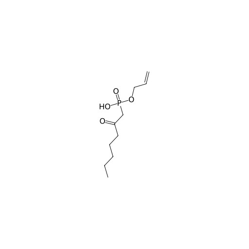 C=CCOP(=O)(O)CC(=O)CCCCC